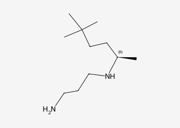 C[C@H](CCC(C)(C)C)NCCCN